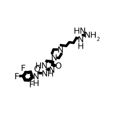 N=C(N)NCCCCCN1CCN(c2c[nH]c(NC(=O)Nc3cc(F)c(F)cc3F)nc2=O)CC1